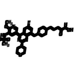 COc1ncc(-c2nc(N3CCOCC3)nc3c(CN4CCC(CCCC(=O)NO)CC4)cc(F)cc23)cc1NS(C)(=O)=O